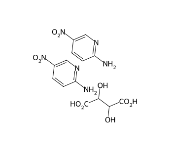 Nc1ccc([N+](=O)[O-])cn1.Nc1ccc([N+](=O)[O-])cn1.O=C(O)C(O)C(O)C(=O)O